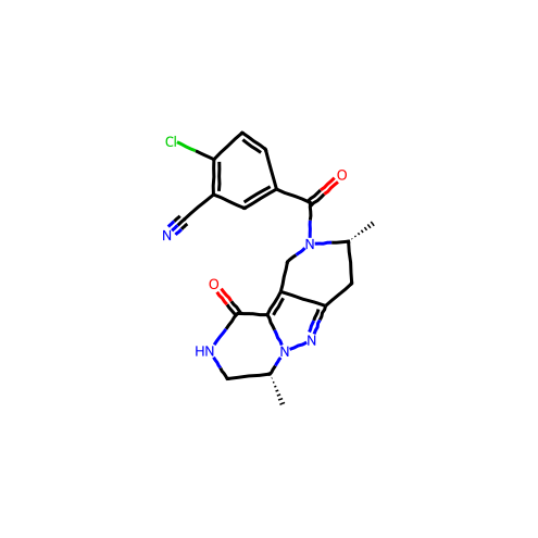 C[C@@H]1Cc2nn3c(c2CN1C(=O)c1ccc(Cl)c(C#N)c1)C(=O)NC[C@H]3C